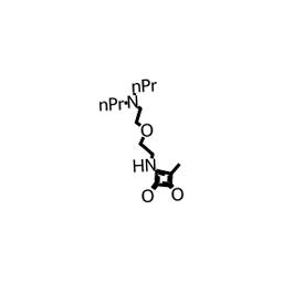 CCCN(CCC)CCOCCNc1c(C)c(=O)c1=O